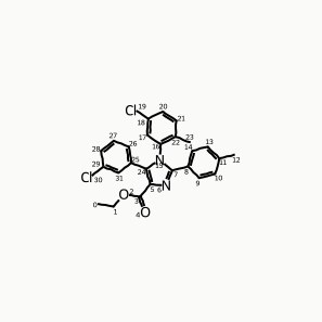 CCOC(=O)c1nc(-c2ccc(C)cc2)n(-c2cc(Cl)ccc2C)c1-c1cccc(Cl)c1